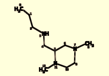 CCCNCC1CN(C)CCN1C